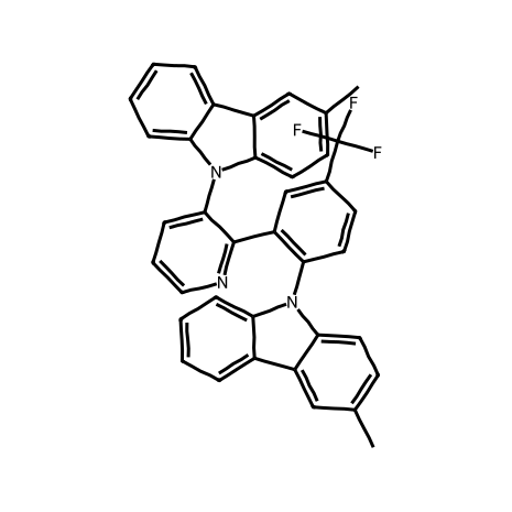 Cc1ccc2c(c1)c1ccccc1n2-c1ccc(C(F)(F)F)cc1-c1ncccc1-n1c2ccccc2c2cc(C)ccc21